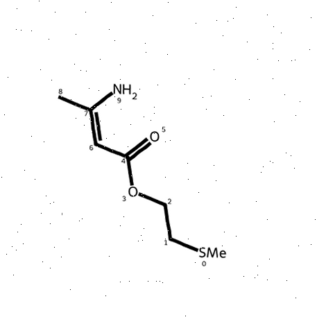 CSCCOC(=O)C=C(C)N